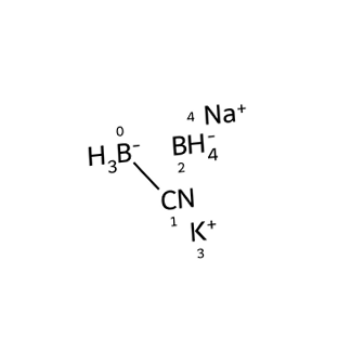 [BH3-]C#N.[BH4-].[K+].[Na+]